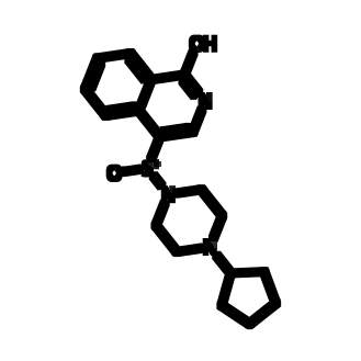 [O-][S+](c1cnc(O)c2ccccc12)N1CCN(C2CCCC2)CC1